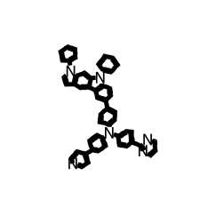 c1ccc(-n2ccc3cc4c5cc(-c6ccc(N(c7ccc(-c8ccncc8)cc7)c7ccc(-c8ncccn8)cc7)cc6)ccc5n(-c5ccccc5)c4cc32)cc1